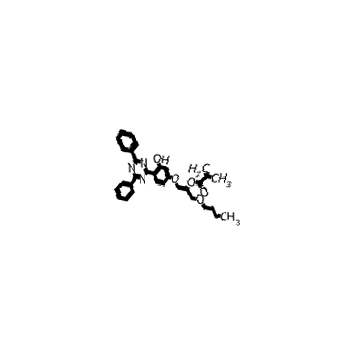 C=C(C)C(=O)OC(COCCCC)COc1ccc(-c2nc(-c3ccccc3)nc(-c3ccccc3)n2)c(O)c1